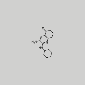 Nc1cc2c(nc1NC1CCCCC1)CCCC2=O